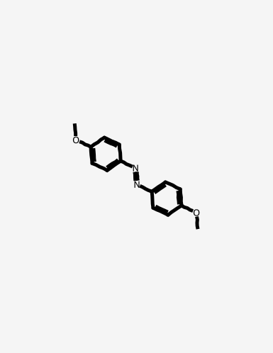 COc1ccc(/N=N/c2ccc(OC)cc2)cc1